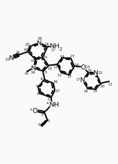 C=CC(=O)Nc1ccc(-c2c(-c3ccc(Oc4nccc(C)n4)cc3)c3c(N)ncc(C#N)c3n2C)cc1